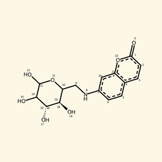 O=c1ccc2ccc(NCC3OC(O)C(O)[C@@H](O)[C@@H]3O)cc2o1